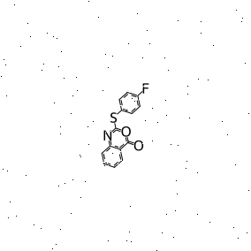 O=c1oc(Sc2ccc(F)cc2)nc2ccccc12